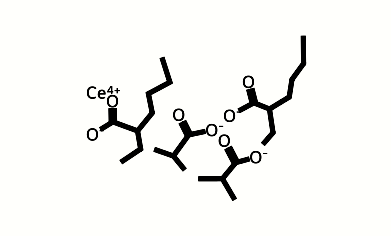 CC(C)C(=O)[O-].CC(C)C(=O)[O-].CCCCC(CC)C(=O)[O-].CCCCC(CC)C(=O)[O-].[Ce+4]